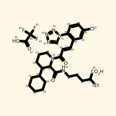 CCC(CCCNC(=O)C1C(C2CCCCC2)CCCN1C(=O)/C=C/c1cc(Cl)ccc1-n1cnnn1)C(=O)O.O=C(O)C(F)(F)F